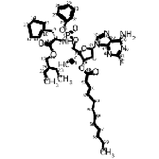 C#C[C@]1(CO[P@@](=O)(N[C@@H](Cc2ccccc2)C(=O)OCC(CC)CC)Oc2ccccc2)O[C@@H](n2cnc3c(N)nc(F)nc32)C[C@@H]1OC(=O)CCCCCCCCCCC